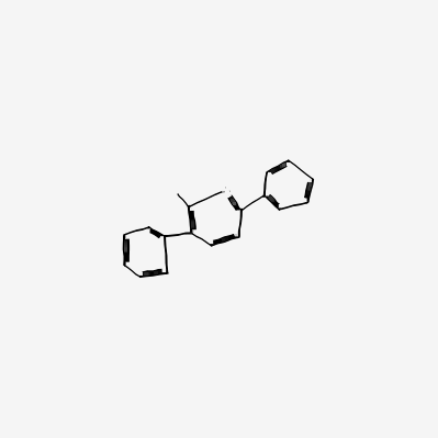 Cc1nc(-c2ccccc2)ccc1-c1ccccc1